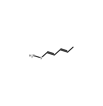 C/C=C/C=C/SN